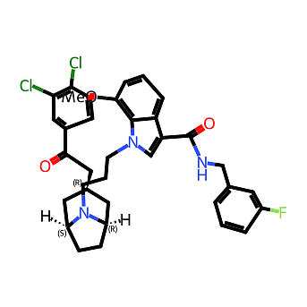 COc1cccc2c(C(=O)NCc3cccc(F)c3)cn(CCCN3[C@@H]4CC[C@H]3C[C@@H](CC(=O)c3ccc(Cl)c(Cl)c3)C4)c12